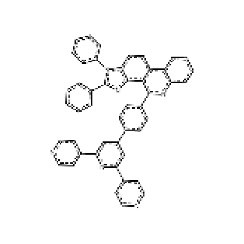 c1ccc(-c2nc3c4c(-c5ccc(-c6cc(-c7ccncc7)nc(-c7ccncc7)c6)cc5)nc5ccccc5c4ccc3n2-c2ccccc2)cc1